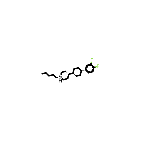 CCCCC[Si@H]1CC[C@H]([C@H]2CC[C@@H](c3ccc(F)c(F)c3)CC2)CC1